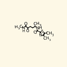 CNC(=O)C(=O)CC[C@@H](C)NC(=O)c1nc(C)c(C)s1